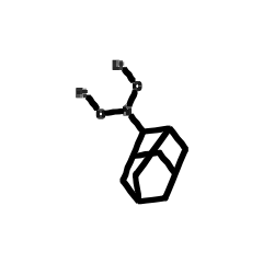 CCO[Si](OCC)C1C2CC3CC(C2)CC1C3